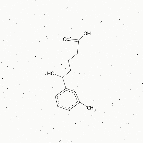 Cc1cccc(C(O)CCCC(=O)O)c1